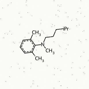 Cc1cccc(C)c1N(C)CCCC(C)C